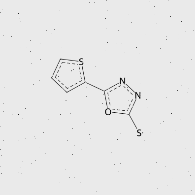 [S]c1nnc(-c2cccs2)o1